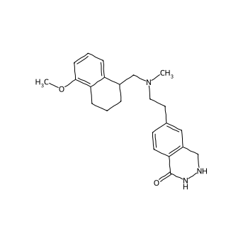 COc1cccc2c1CCCC2CN(C)CCc1ccc2c(c1)CNNC2=O